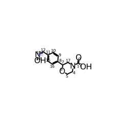 O=C(O)N1CCOC(c2ccc(/C=N\O)cc2)C1